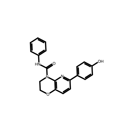 O=C(Nc1ccccc1)N1CCOc2ccc(-c3ccc(O)cc3)nc21